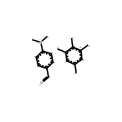 CN(C)c1ccc(C=O)cc1.Cc1cc(C)c(C)c(C)c1